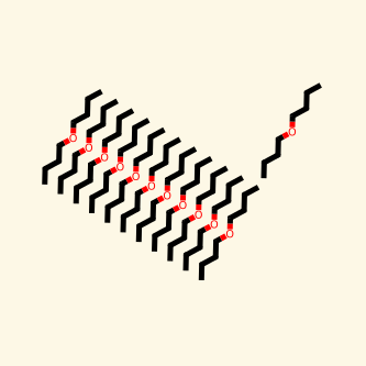 CCCCOCCCC.CCCCOCCCC.CCCCOCCCC.CCCCOCCCC.CCCCOCCCC.CCCCOCCCC.CCCCOCCCC.CCCCOCCCC.CCCCOCCCC.CCCCOCCCC.CCCCOCCCC.CCCCOCCCC